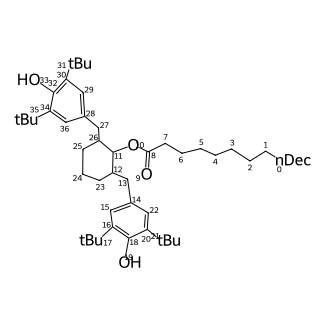 CCCCCCCCCCCCCCCCCC(=O)OC1C(Cc2cc(C(C)(C)C)c(O)c(C(C)(C)C)c2)CCCC1Cc1cc(C(C)(C)C)c(O)c(C(C)(C)C)c1